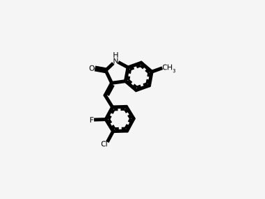 Cc1ccc2c(c1)NC(=O)/C2=C/c1cccc(Cl)c1F